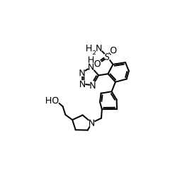 NS(=O)(=O)c1cccc(-c2ccc(CN3CCC(CCO)C3)cc2)c1-c1nnn[nH]1